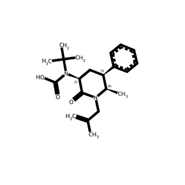 C=C(C)CN1C(=O)[C@@H](N(C(=O)O)C(C)(C)C)C[C@@H](c2ccccc2)[C@H]1C